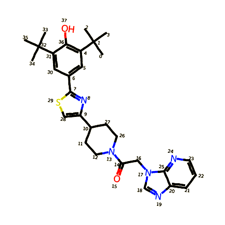 CC(C)(C)c1cc(-c2nc(C3CCN(C(=O)Cn4cnc5cccnc54)CC3)cs2)cc(C(C)(C)C)c1O